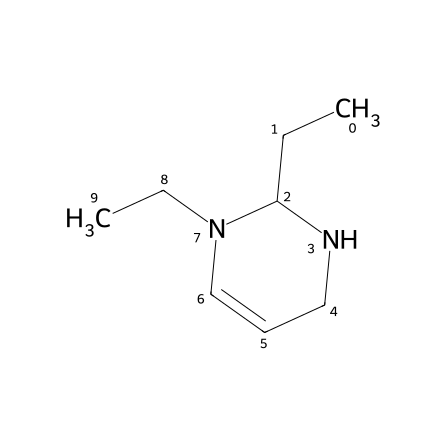 CCC1NCC=CN1CC